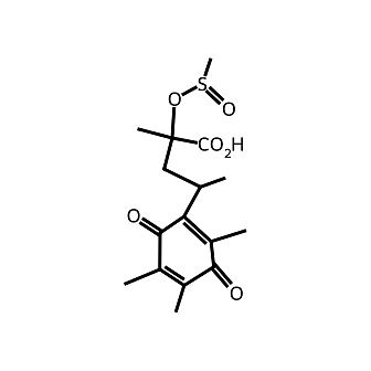 CC1=C(C)C(=O)C(C(C)CC(C)(OS(C)=O)C(=O)O)=C(C)C1=O